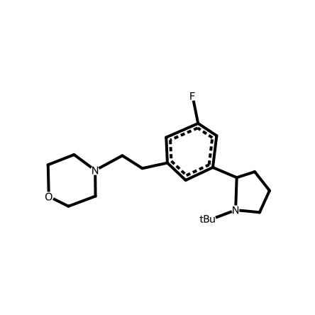 CC(C)(C)N1CCCC1c1cc(F)cc(CCN2CCOCC2)c1